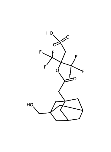 O=C(CC12CC3CC(CC(CO)(C3)C1)C2)OC(CS(=O)(=O)O)(C(F)(F)F)C(F)(F)F